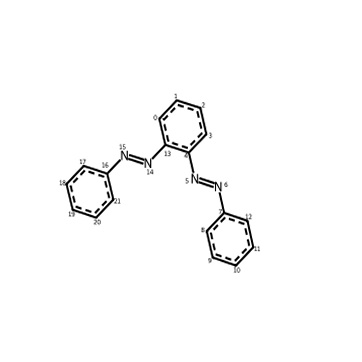 [c]1cccc(N=Nc2ccccc2)c1N=Nc1ccccc1